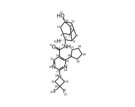 O=C(N[C@H]1C2CC3CC1C[C@@](O)(C3)C2)c1cnc(N2CC(F)(F)C2)nc1C1CCCC1